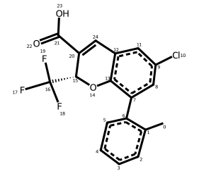 Cc1ccccc1-c1cc(Cl)cc2c1O[C@H](C(F)(F)F)C(C(=O)O)=C2